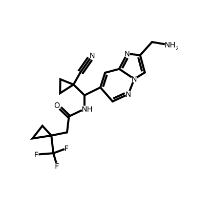 N#CC1(C(NC(=O)CC2(C(F)(F)F)CC2)c2cnn3cc(CN)nc3c2)CC1